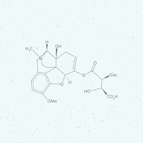 COc1ccc2c3c1O[C@@H]1C(OC(=O)[C@@H](OC(C)=O)[C@H](O)C(=O)O)=CC[C@@]4(O)[C@@H](C2)N(C)CCC314